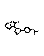 CCc1nn2ccccc2c1-c1ccnc(-c2ccc(OC(F)F)cc2)n1